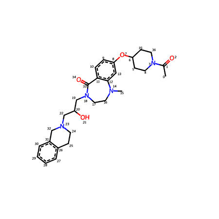 CC(=O)N1CCC(Oc2ccc3c(c2)N(C)CCN(CC(O)CN2CCc4ccccc4C2)C3=O)CC1